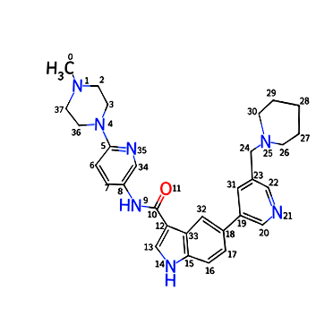 CN1CCN(c2ccc(NC(=O)c3c[nH]c4ccc(-c5cncc(CN6CCCCC6)c5)cc34)cn2)CC1